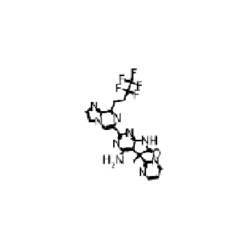 CC1(c2ncccn2)C(=O)Nc2nc(-c3cn4ccnc4c(CCC(F)(F)C(F)(F)F)n3)nc(N)c21